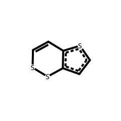 C1=Cc2sccc2SS1